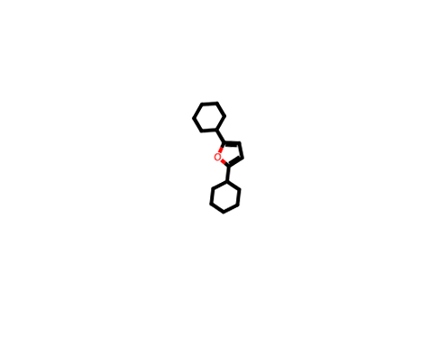 c1cc(C2CCCCC2)oc1C1CCCCC1